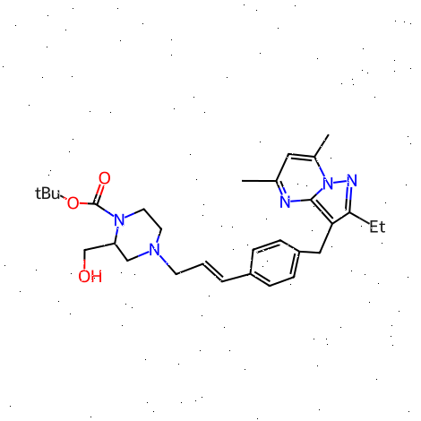 CCc1nn2c(C)cc(C)nc2c1Cc1ccc(C=CCN2CCN(C(=O)OC(C)(C)C)C(CO)C2)cc1